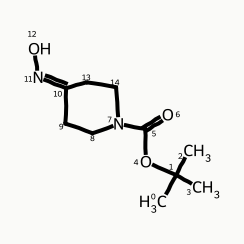 CC(C)(C)OC(=O)N1CCC(=NO)CC1